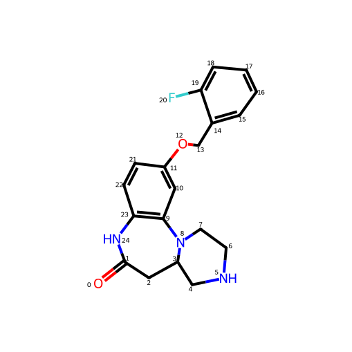 O=C1CC2CNCCN2c2cc(OCc3ccccc3F)ccc2N1